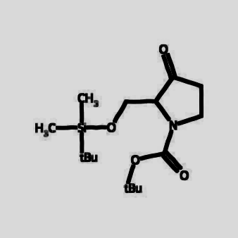 CC(C)(C)OC(=O)N1CCC(=O)C1CO[Si](C)(C)C(C)(C)C